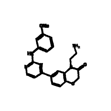 COc1cccc(Nc2nccc(-c3ccc4c(c3)N(CCN)C(=O)CO4)n2)c1